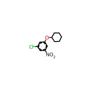 O=[N+]([O-])c1cc(Cl)cc(OC2CCCCC2)c1